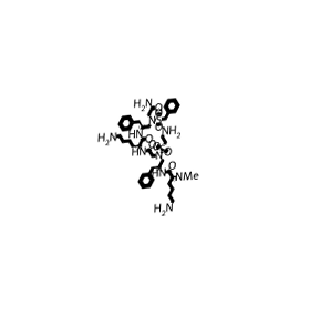 CN[C@@H](CCCCN)C(=O)N[C@@H](Cc1ccccc1)CN(CC(=O)N[C@@H](CCCCN)C(=O)N[C@@H](Cc1ccccc1)CN(CC(N)=O)S(=O)(=O)Cc1ccccc1)S(=O)(=O)CCN